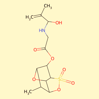 C=C(C)C(O)NCC(=O)OC1C2OC3C(OS(=O)(=O)C13)C2C